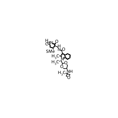 CSc1cc(C)[nH]c(=O)c1CNC(=O)c1c(C)n([C@H](C)C2OCC(NC3(C)COC3)CO2)c2ccccc12